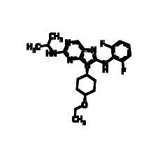 CCO[C@H]1CC[C@@H](n2c(Nc3c(F)cccc3F)nc3cnc(NC(C)C)nc32)CC1